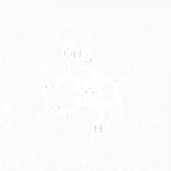 O=CC1C(C(=O)O)[C@H]2CC[C@@H]1O2